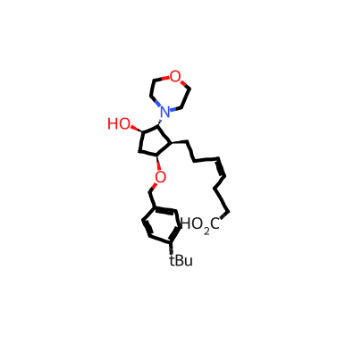 CC(C)(C)c1ccc(CO[C@H]2C[C@@H](O)[C@H](N3CCOCC3)[C@H]2CC/C=C\CCC(=O)O)cc1